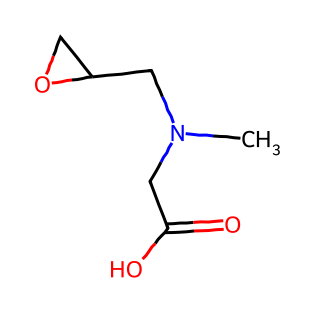 CN(CC(=O)O)CC1CO1